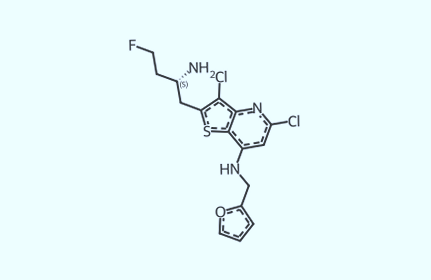 N[C@@H](CCF)Cc1sc2c(NCc3ccco3)cc(Cl)nc2c1Cl